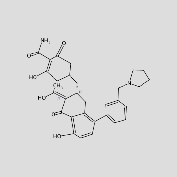 C/C(O)=C1/C(=O)c2c(O)ccc(-c3cccc(CN4CCCC4)c3)c2C[C@H]1CC1CC(=O)C(C(N)=O)=C(O)C1